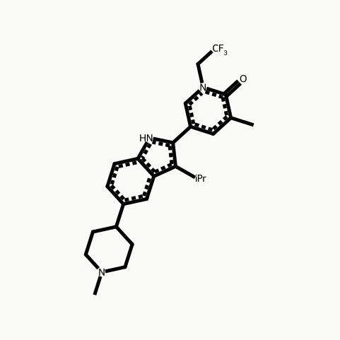 Cc1cc(-c2[nH]c3ccc(C4CCN(C)CC4)cc3c2C(C)C)cn(CC(F)(F)F)c1=O